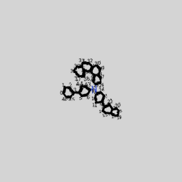 c1ccc(-c2ccc(N(c3ccc(-c4ccc5ccccc5c4)cc3)c3ccc4ccc5ccc6ccccc6c5c4c3)cc2)cc1